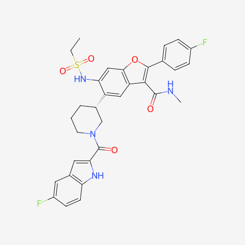 CCS(=O)(=O)Nc1cc2oc(-c3ccc(F)cc3)c(C(=O)NC)c2cc1[C@H]1CCCN(C(=O)c2cc3cc(F)ccc3[nH]2)C1